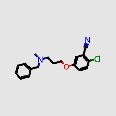 CN(CCCOc1ccc(Cl)c(C#N)c1)Cc1ccccc1